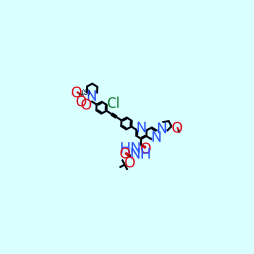 COC(=O)[C@@H]1CCCCN1C(=O)c1ccc(C#Cc2ccc(-c3cc(C(=O)NNC(=O)OC(C)(C)C)c4cnc(N5CCC(OC)C5)cc4n3)cc2)c(Cl)c1